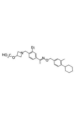 CCc1cc(C(C)=NOCc2ccc(C3CCCCC3)c(C)c2)ccc1CN1CC(OC(=O)O)C1